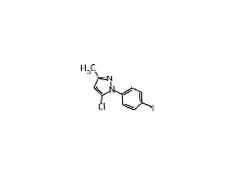 Cc1cc(Cl)n(-c2ccc(I)cc2)n1